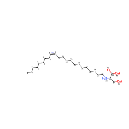 CCCCCCCC/C=C\CCCCCCCCCCCCNC(CO)C(=O)O